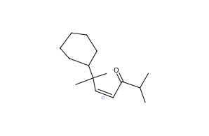 CC(C)C(=O)/C=C\C(C)(C)C1CCCCC1